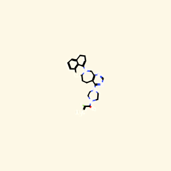 C=C(F)C(=O)N1CCN(c2ncnc3c2CCCN(C2=CCCc4cccc(C)c42)C3)CC1